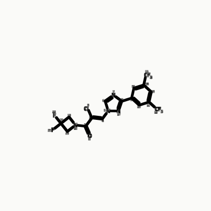 O=C(/C(Cl)=C/n1cnc(-c2cc(C(F)(F)F)cc(C(F)(F)F)c2)n1)N1CC(F)(F)C1